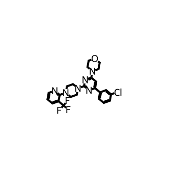 FC(F)(F)c1cccnc1N1CCN(c2nc(-c3cccc(Cl)c3)cc(N3CCOCC3)n2)CC1